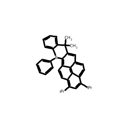 CC(C)c1cc(C(C)C)c2ccc3c4c(cc5ccc1c2c53)C(C)(C)c1ccccc1B4c1ccccc1